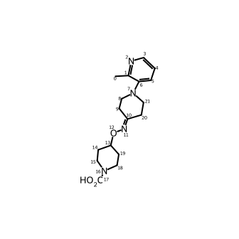 Cc1ncccc1N1CCC(=NOC2CCN(C(=O)O)CC2)CC1